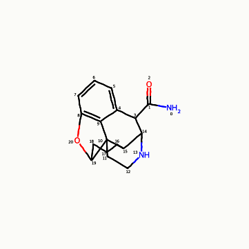 NC(=O)C1c2cccc3c2C24CCNC1C2CCCC4O3